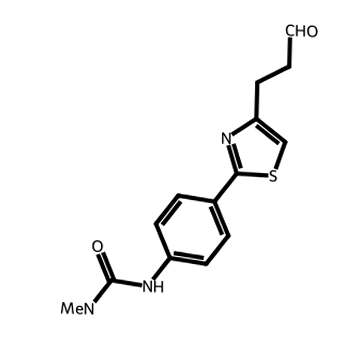 CNC(=O)Nc1ccc(-c2nc(CCC=O)cs2)cc1